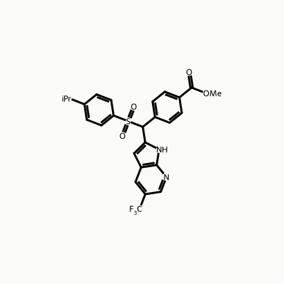 COC(=O)c1ccc(C(c2cc3cc(C(F)(F)F)cnc3[nH]2)S(=O)(=O)c2ccc(C(C)C)cc2)cc1